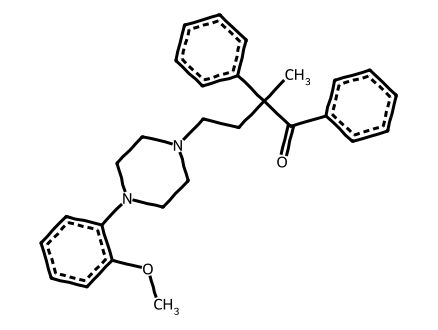 COc1ccccc1N1CCN(CCC(C)(C(=O)c2ccccc2)c2ccccc2)CC1